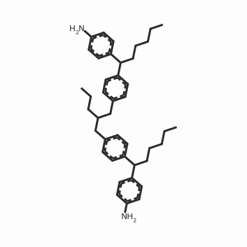 CCCCCC(c1ccc(N)cc1)c1ccc(CC(CCC)Cc2ccc(C(CCCCC)c3ccc(N)cc3)cc2)cc1